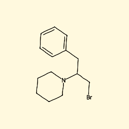 BrCC(Cc1ccccc1)N1CCCCC1